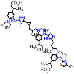 CC(C)CN(CC(C)CC1CC1c1nnc(Nc2cc(C(C)CC(=O)O)ccc2N(CC(C)C)CC(C)C)[nH]1)c1ccc(C(C)CC(=O)O)cc1Nc1nnc(CCC(C)CN(CC(C)C)c2ccc(C(C)CC(=O)O)cc2Nc2nc(C(C)C)cs2)[nH]1